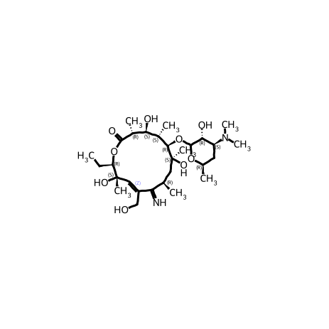 CC[C@H]1OC(=O)[C@H](C)[C@@H](O)[C@H](C)[C@@H](OC2O[C@H](C)C[C@H](N(C)C)[C@H]2O)[C@@](C)(O)C[C@@H](C)C(=N)/C(CO)=C/[C@]1(C)O